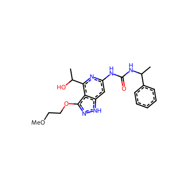 COCCOc1n[nH]c2cc(NC(=O)NC(C)c3ccccc3)nc(C(C)O)c12